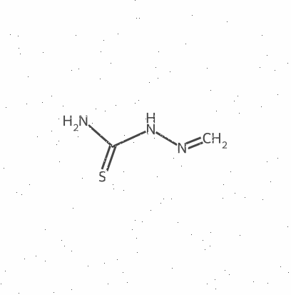 C=NNC(N)=S